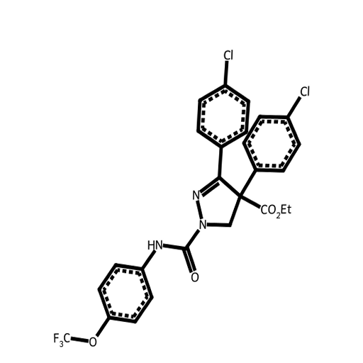 CCOC(=O)C1(c2ccc(Cl)cc2)CN(C(=O)Nc2ccc(OC(F)(F)F)cc2)N=C1c1ccc(Cl)cc1